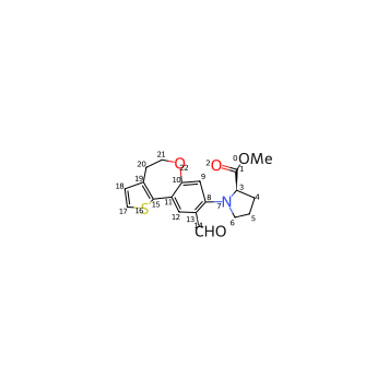 COC(=O)[C@H]1CCCN1c1cc2c(cc1C=O)-c1sccc1CCO2